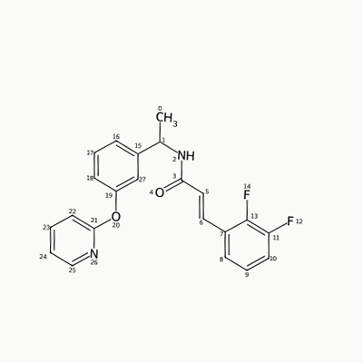 CC(NC(=O)C=Cc1cccc(F)c1F)c1cccc(Oc2ccccn2)c1